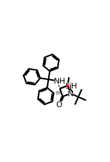 C[SiH](C)[C@@]1(NC(c2ccccc2)(c2ccccc2)c2ccccc2)CN(C(C)(C)C)C1=O